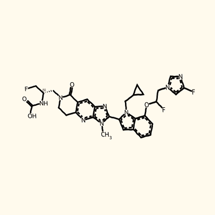 Cn1c(-c2cc3cccc(OC(F)Cn4cnc(F)c4)c3n2CC2CC2)nc2cc3c(nc21)CCN(C[C@@H](CF)NC(=O)O)C3=O